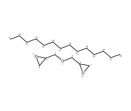 C(OCC1CO1)C1CO1.CCCCCCCCCCCCCC